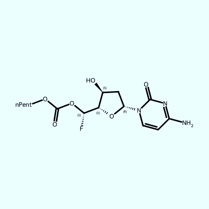 CCCCCOC(=O)O[C@@H](F)[C@H]1O[C@@H](n2ccc(N)nc2=O)C[C@@H]1O